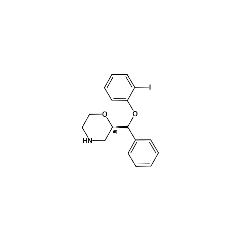 Ic1ccccc1OC(c1ccccc1)[C@H]1CNCCO1